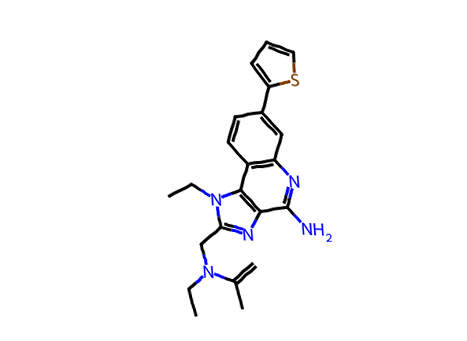 C=C(C)N(CC)Cc1nc2c(N)nc3cc(-c4cccs4)ccc3c2n1CC